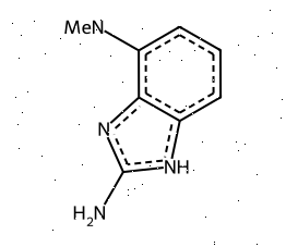 CNc1cccc2[nH]c(N)nc12